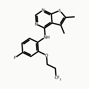 Cc1sc2ncnc(Nc3ccc(F)cc3OCCC(F)(F)F)c2c1C